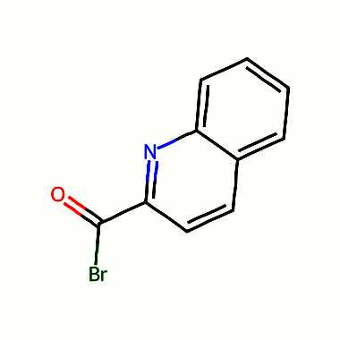 O=C(Br)c1ccc2ccccc2n1